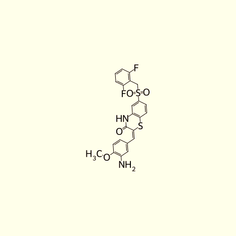 COc1ccc(/C=C2/Sc3ccc(S(=O)(=O)Cc4c(F)cccc4F)cc3NC2=O)cc1N